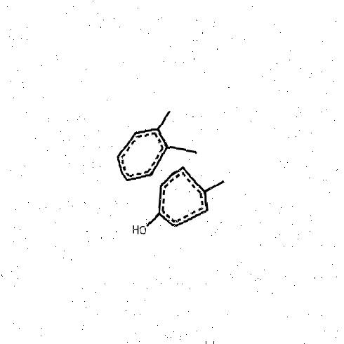 Cc1ccc(O)cc1.Cc1ccccc1C